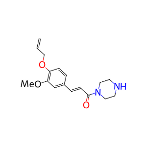 C=CCOc1ccc(/C=C/C(=O)N2CCNCC2)cc1OC